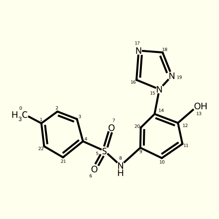 Cc1ccc(S(=O)(=O)Nc2ccc(O)c(-n3cncn3)c2)cc1